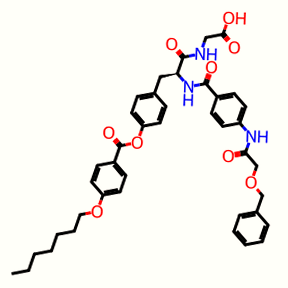 CCCCCCCOc1ccc(C(=O)Oc2ccc(C[C@H](NC(=O)c3ccc(NC(=O)COCc4ccccc4)cc3)C(=O)NCC(=O)O)cc2)cc1